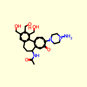 CC(=O)NC1CCc2cc(CO)c(CO)c(CO)c2-c2ccc(N3CCN(N)CC3)c(=O)cc21